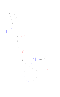 O=C(O)NC1(COCC(=O)NC2CC2)CCNC1